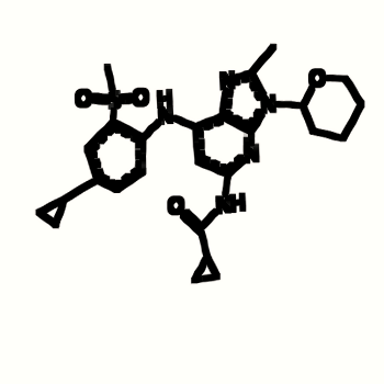 Cc1nc2c(Nc3ccc(C4CC4)cc3S(C)(=O)=O)cc(NC(=O)C3CC3)nc2n1C1CCCCO1